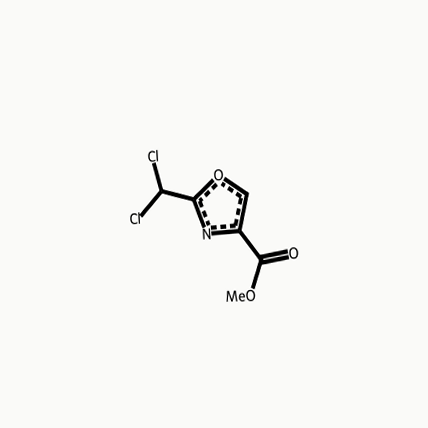 COC(=O)c1coc(C(Cl)Cl)n1